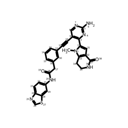 Cn1c(-c2nc(N)ncc2C#Cc2cccc(CC(=O)Nc3ccc4ncsc4c3)c2)cc2c1CCNC2=O